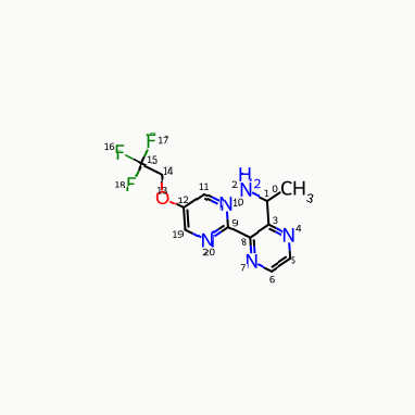 CC(N)c1nccnc1-c1ncc(OCC(F)(F)F)cn1